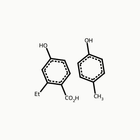 CCc1cc(O)ccc1C(=O)O.Cc1ccc(O)cc1